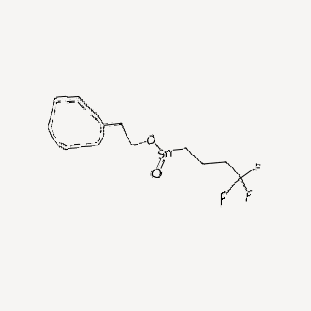 [O]=[Sn]([CH2]CCC(F)(F)F)[O]CCc1ccccc1